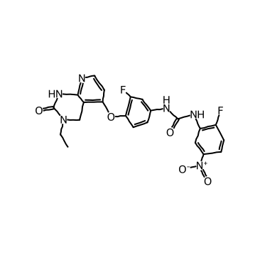 CCN1Cc2c(Oc3ccc(NC(=O)Nc4cc([N+](=O)[O-])ccc4F)cc3F)ccnc2NC1=O